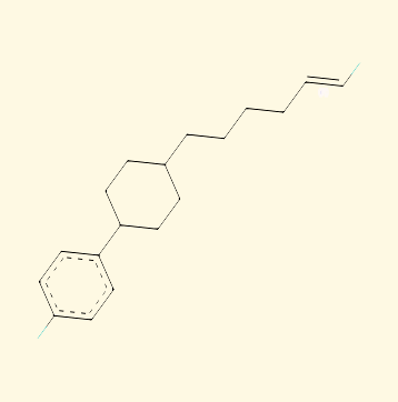 F/C=C/CCCCC1CCC(c2ccc(F)cc2)CC1